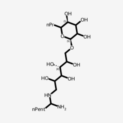 CCCCCC(N)NCC(O)C(O)[C@H](O)C(O)CO[C@H]1OC(CCC)[C@@H](O)C(O)C1O